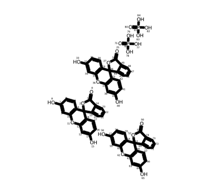 O=C1OC2(c3ccc(O)cc3Oc3cc(O)ccc32)c2ccccc21.O=C1OC2(c3ccc(O)cc3Oc3cc(O)ccc32)c2ccccc21.O=C1OC2(c3ccc(O)cc3Oc3cc(O)ccc32)c2ccccc21.O=P(O)(O)O.O=P(O)(O)O